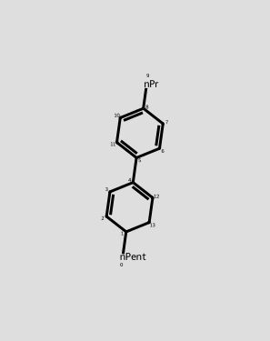 CCCCCC1C=CC(c2ccc(CCC)cc2)=CC1